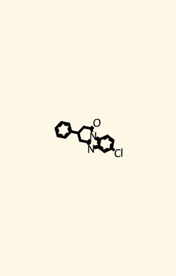 O=C1CC(c2ccccc2)Cc2nc3cc(Cl)ccc3n21